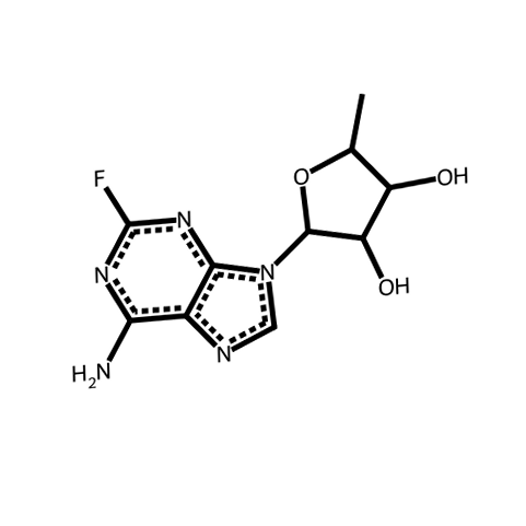 CC1OC(n2cnc3c(N)nc(F)nc32)C(O)C1O